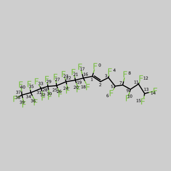 FC(=CC(F)C(F)C(F)C(F)C(F)C(F)F)C(F)(F)C(F)(F)C(F)(F)C(F)(F)C(F)(F)C(F)(F)C(F)(F)C(F)(F)F